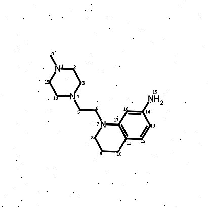 CN1CCN(CCN2CCCc3ccc(N)cc32)CC1